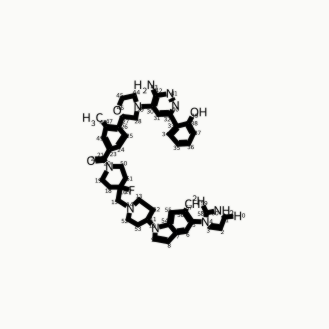 [2H]C1C=CN(c2cc3ccn(C4CCN(CC5(F)CCN(C(=O)c6ccc(C7CN(c8cc(-c9ccccc9O)nnc8N)CCO7)c(C)c6)CC5)CC4)c3cc2C)C([2H])N1